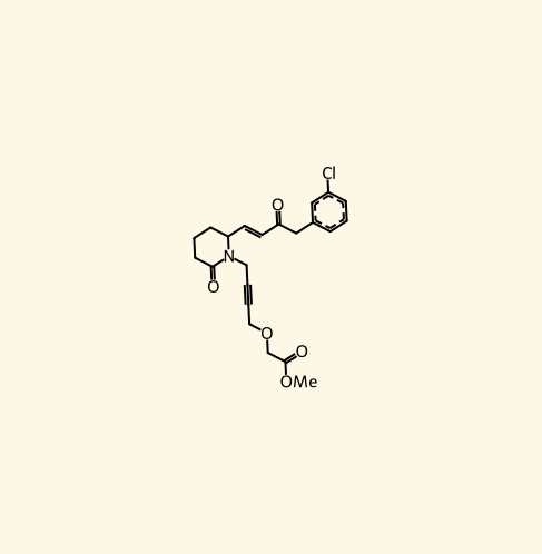 COC(=O)COCC#CCN1C(=O)CCCC1C=CC(=O)Cc1cccc(Cl)c1